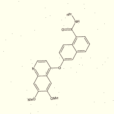 CCCNC(=O)c1cccc2cc(Oc3ccnc4cc(OC)c(OC)cc34)ccc12